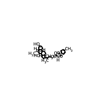 CC[C@H]1[C@@H](O)[C@@H]2[C@H](CC[C@]3(C)C([C@H](C)CCCOC(=O)NS(=O)(=O)c4ccc(C)cc4)CC[C@@H]23)[C@@]2(C)CC[C@@H](O)C[C@@H]12